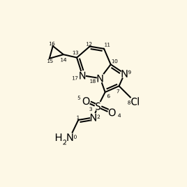 N/C=N/S(=O)(=O)c1c(Cl)nc2ccc(C3CC3)nn12